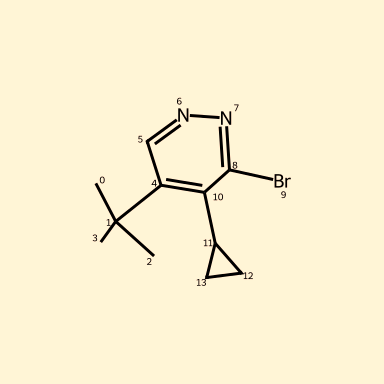 CC(C)(C)c1cnnc(Br)c1C1CC1